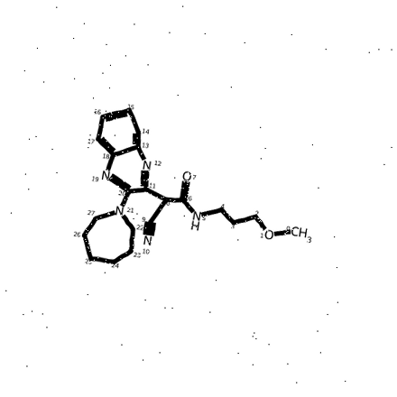 COCCCNC(=O)C(C#N)c1nc2ccccc2nc1N1CCCCCC1